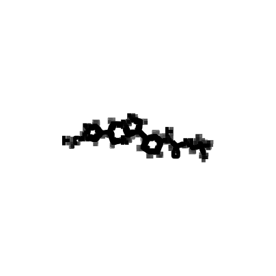 Cn1cc(-c2cnc3c(-c4cccc(NC(=O)NCC(F)(F)F)c4)cnn3c2)cn1